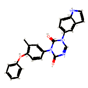 Cc1cc(-n2c(=O)ncn(-c3ccc4[nH]ccc4c3)c2=O)ccc1Oc1ccccc1